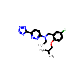 CCN(Cc1cc(Cl)ccc1OCC(C)C)c1ccc(C2N=NN=N2)nn1